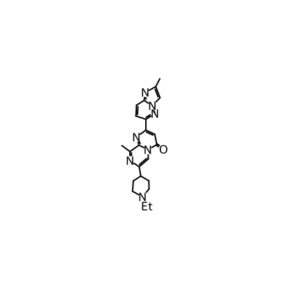 CCN1CCC(c2cn3c(=O)cc(-c4ccc5nc(C)cn5n4)nc3c(C)n2)CC1